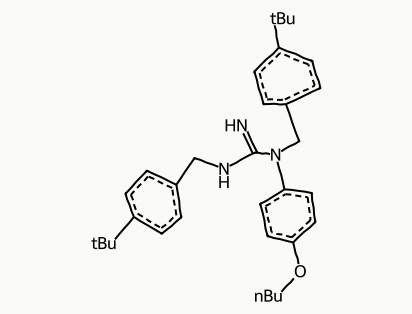 CCCCOc1ccc(N(Cc2ccc(C(C)(C)C)cc2)C(=N)NCc2ccc(C(C)(C)C)cc2)cc1